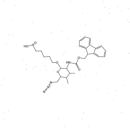 CC1C(CN=[N+]=[N-])OC(OCCCCCC(=O)O)C(NC(=O)OCC2c3ccccc3-c3ccccc32)C1C